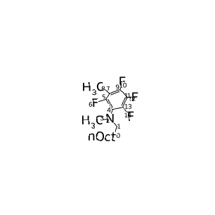 CCCCCCCCCN(C)c1c(F)c(C)c(F)c(F)c1F